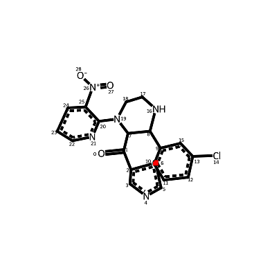 O=C(c1cnco1)C1C(c2cccc(Cl)c2)NCCN1c1ncccc1[N+](=O)[O-]